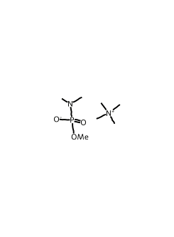 COP(=O)([O-])N(C)C.C[N+](C)(C)C